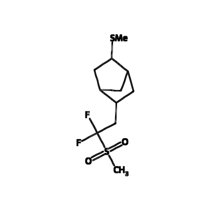 CSC1CC2CC1CC2CC(F)(F)S(C)(=O)=O